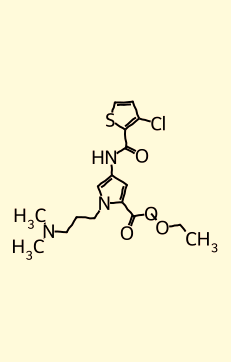 CCOOC(=O)c1cc(NC(=O)c2sccc2Cl)cn1CCCN(C)C